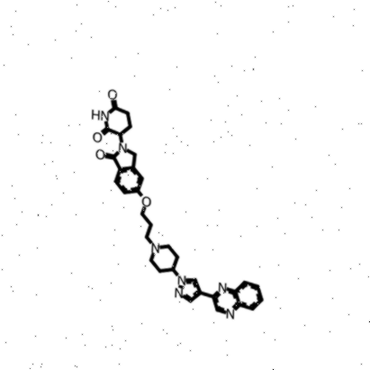 O=C1CCC(N2Cc3cc(OCCCN4CCC(n5cc(-c6cnc7ccccc7n6)cn5)CC4)ccc3C2=O)C(=O)N1